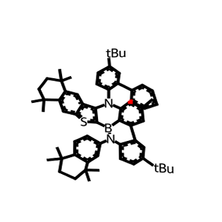 Cc1cc2c3c(c1)N(c1ccc(C(C)(C)C)cc1-c1ccccc1)c1c(sc4cc5c(cc14)C(C)(C)CCC5(C)C)B3N(c1ccc3c(c1)C(C)(C)CCC3(C)C)c1ccc(C(C)(C)C)cc1-2